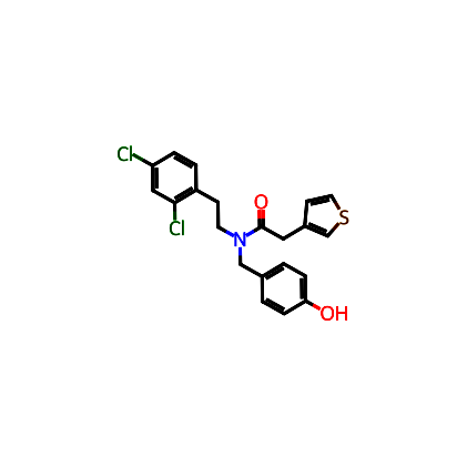 O=C(Cc1ccsc1)N(CCc1ccc(Cl)cc1Cl)Cc1ccc(O)cc1